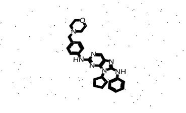 c1ccc(Nc2nc3cnc(Nc4ccc(CN5CCOCC5)cc4)nc3n2C2CCCC2)cc1